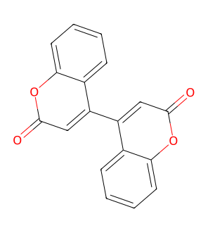 O=c1cc(-c2cc(=O)oc3ccccc23)c2ccccc2o1